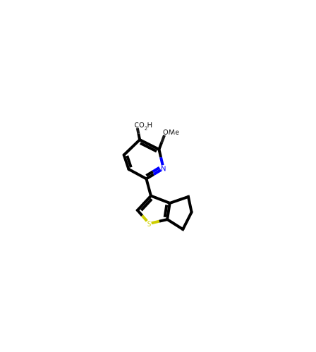 COc1nc(-c2csc3c2CCC3)ccc1C(=O)O